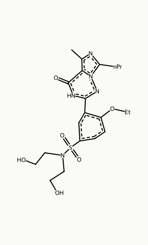 CCCc1nc(C)c2c(=O)[nH]c(-c3cc(S(=O)(=O)N(CCO)CCO)ccc3OCC)nn12